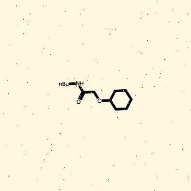 CCCCNC(=O)COC1CCCCC1